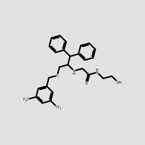 O=C(CNC(COCc1cc(C(F)(F)F)cc(C(F)(F)F)c1)C(c1ccccc1)c1ccccc1)NCCO